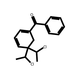 CC(Cl)C1(C(C)Cl)C=CC=C(C(=O)c2ccccc2)C1